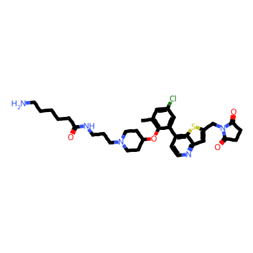 Cc1cc(Cl)cc(-c2ccnc3cc(CN4C(=O)CCC4=O)sc23)c1OC1CCN(CCCNC(=O)CCCCCN)CC1